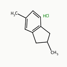 Cc1ccc2c(c1)CC(C)C2.Cl